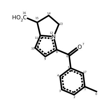 Cc1cccc(C(=O)c2ccc3n2CCC3C(=O)O)c1